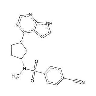 CN([C@@H]1CCN(c2ncnc3[nH]ccc23)C1)S(=O)(=O)c1ccc(C#N)cc1